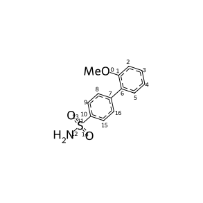 COc1ccccc1-c1ccc(S(N)(=O)=O)cc1